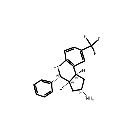 N[C@@H]1C[C@@H]2[C@H](C1)c1cc(C(F)(F)F)ccc1N[C@H]2c1ccccc1